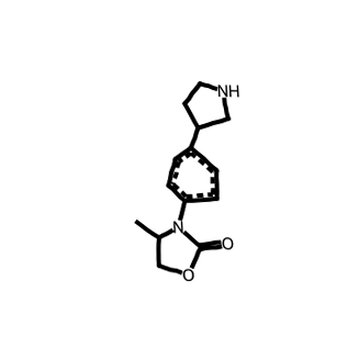 CC1COC(=O)N1c1ccc(C2CCNC2)cc1